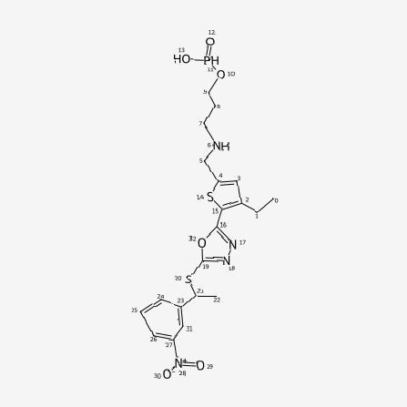 CCc1cc(CNCCCO[PH](=O)O)sc1-c1nnc(SC(C)c2cccc([N+](=O)[O-])c2)o1